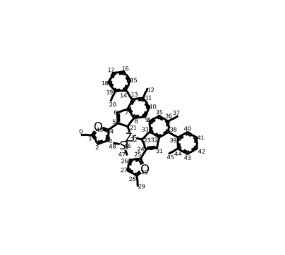 Cc1ccc(C2=Cc3c(ccc(C)c3-c3ccccc3C)[CH]2[Zr]([CH]2C(c3ccc(C)o3)=Cc3c2ccc(C)c3-c2ccccc2C)=[Si](C)C)o1